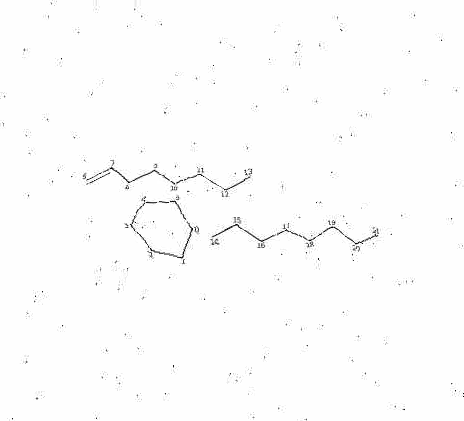 C1CCCCC1.C=CCCCCCC.CCCCCCCC